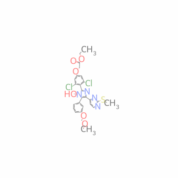 CCOC(=O)COc1cc(Cl)c(-c2nc(-c3ccnc(SC)n3)c(-c3cccc(OCOC)c3)n2O)c(Cl)c1